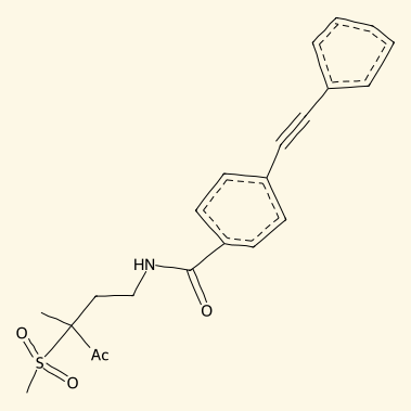 CC(=O)C(C)(CCNC(=O)c1ccc(C#Cc2ccccc2)cc1)S(C)(=O)=O